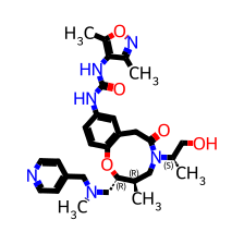 Cc1noc(C)c1NC(=O)Nc1ccc2c(c1)CC(=O)N([C@@H](C)CO)C[C@@H](C)[C@H](CN(C)Cc1ccncc1)O2